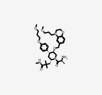 CNC(=O)C(C)(C)C[C@@H]1C[C@H](c2ccc(OCCCOC)cc2)[C@@H](OCc2ccc3c(c2)N(CCCOC)CCO3)CN1C(=O)[C@H](C)N